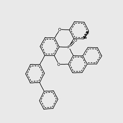 O=P12c3c(ccc(-c4cccc(-c5ccccc5)c4)c3Oc3ccc4ccccc4c31)Oc1ccc3ccccc3c12